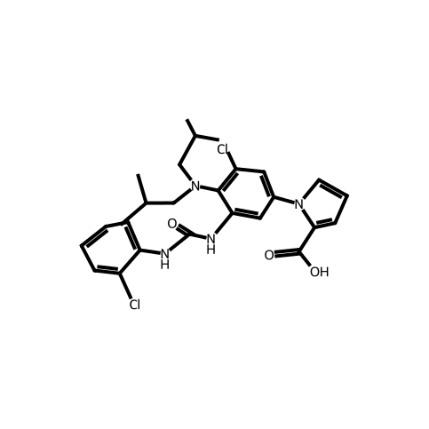 CC(C)CN(CC(C)C)c1c(Cl)cc(-n2cccc2C(=O)O)cc1NC(=O)Nc1ccccc1Cl